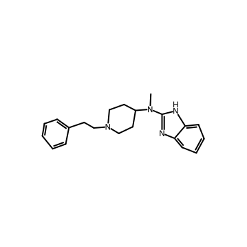 CN(c1nc2ccccc2[nH]1)C1CCN(CCc2ccccc2)CC1